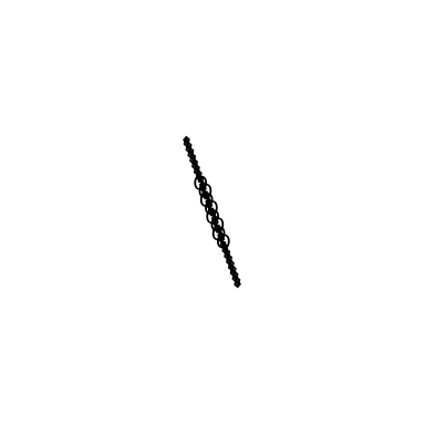 CCCCCCCCCCCCCCCCOCCOCCOCCOCCOCCOCCOCCOCCCCCCCCCCCCCCCC